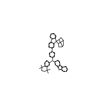 CC1(C)CCC(C)(C)c2cc(N(c3ccc(-c4ccc5c(c4)C4(c6ccccc6-5)C5CC6CC7CC4C75C6)cc3)c3ccc4c(c3)sc3ccccc34)ccc21